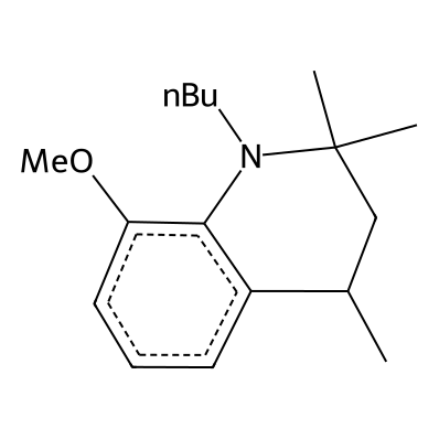 CCCCN1c2c(OC)cccc2C(C)CC1(C)C